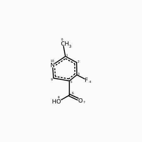 Cc1cc(F)c(C(=O)O)cn1